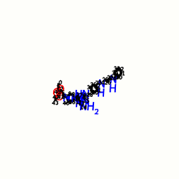 CCOP(=O)(CCN1CCN(c2nc(N)nc(NC[C@H]3CC[C@H](CNCCCNC4CCCCC4)CC3)n2)C[C@H]1C)OCC